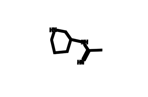 CC(=N)NC1CCCNC1